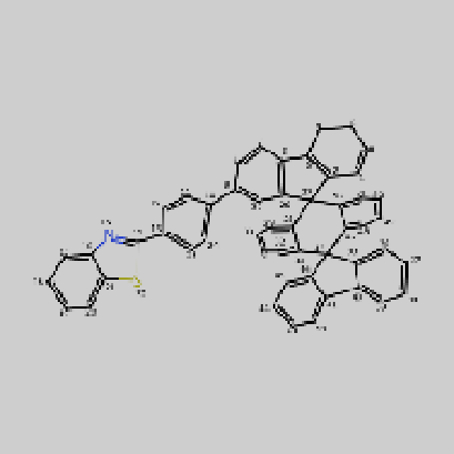 C1=CC2=C(CC1)c1ccc(-c3ccc(-c4nc5ccccc5s4)cc3)cc1C21c2ccccc2C2(c3ccccc3-c3ccccc32)c2ccccc21